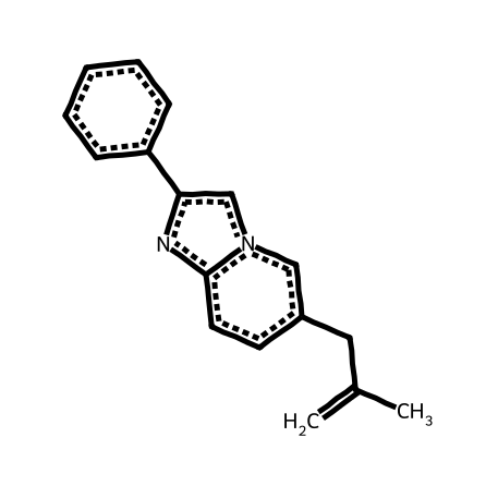 C=C(C)Cc1ccc2nc(-c3ccccc3)cn2c1